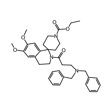 CCOC(=O)N1CCC2(CC1)c1cc(OC)c(OC)cc1CCN2C(=O)CCN(Cc1ccccc1)Cc1ccccc1